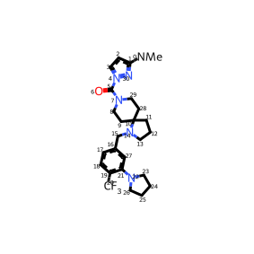 CNc1ccn(C(=O)N2CCC3(CCCN3Cc3ccc(C(F)(F)F)c(N4CCCC4)c3)CC2)n1